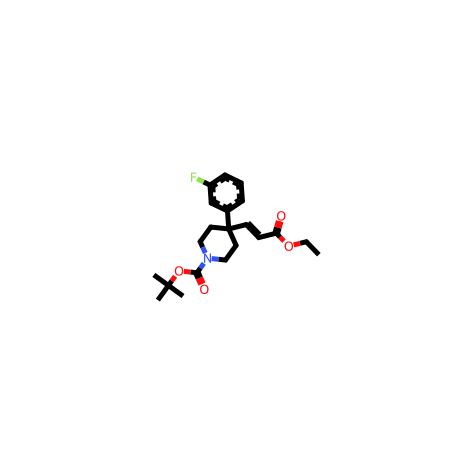 CCOC(=O)C=CC1(c2cccc(F)c2)CCN(C(=O)OC(C)(C)C)CC1